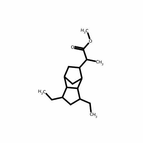 CCC1CC(CC)C2C3CC(CC3C(C)C(=O)OC)C12